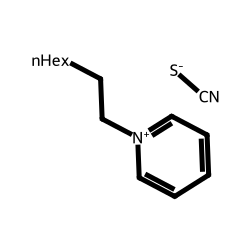 CCCCCCCC[n+]1ccccc1.N#C[S-]